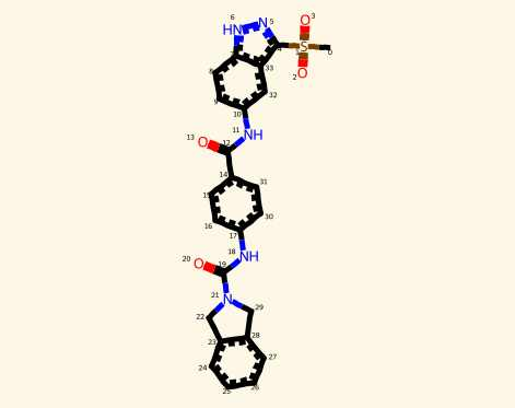 CS(=O)(=O)c1n[nH]c2ccc(NC(=O)c3ccc(NC(=O)N4Cc5ccccc5C4)cc3)cc12